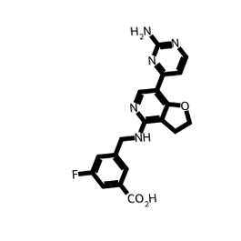 Nc1nccc(-c2cnc(NCc3cc(F)cc(C(=O)O)c3)c3c2OCC3)n1